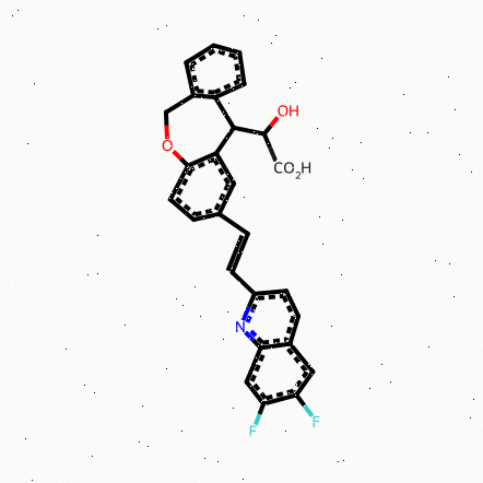 O=C(O)C(O)C1c2ccccc2COc2ccc(C=Cc3ccc4cc(F)c(F)cc4n3)cc21